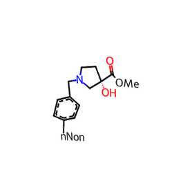 CCCCCCCCCc1ccc(CN2CC[C@@](O)(C(=O)OC)C2)cc1